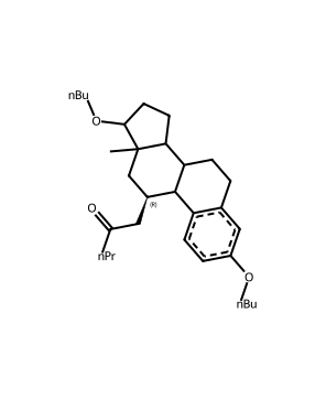 CCCCOc1ccc2c(c1)CCC1C2[C@@H](CC(=O)CCC)CC2(C)C(OCCCC)CCC12